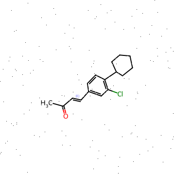 CC(=O)/C=C/c1ccc(C2CCCCC2)c(Cl)c1